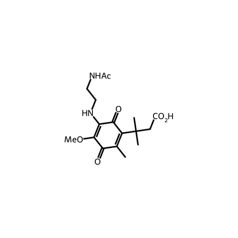 COC1=C(NCCNC(C)=O)C(=O)C(C(C)(C)CC(=O)O)=C(C)C1=O